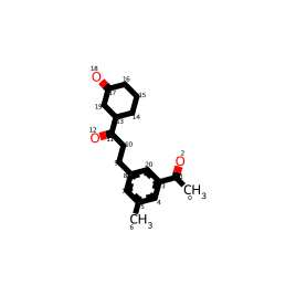 CC(=O)c1cc(C)cc(CCC(=O)C2CCCC(=O)C2)c1